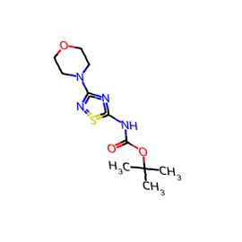 CC(C)(C)OC(=O)Nc1nc(N2CCOCC2)ns1